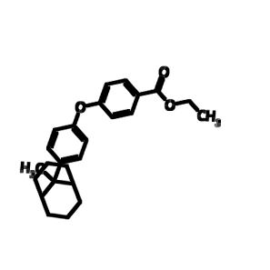 CCOC(=O)c1ccc(Oc2ccc(C3(C)C4CCCC3CCC4)cc2)cc1